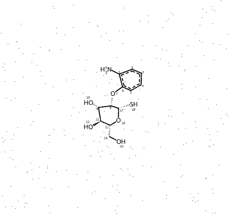 Nc1ccccc1O[C@H]1[C@@H](O)[C@H](O)[C@@H](CO)O[C@H]1S